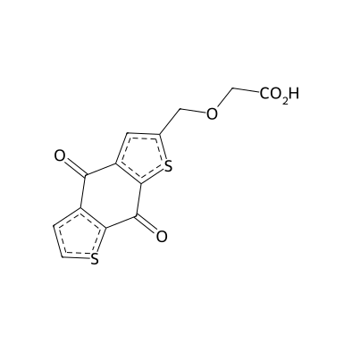 O=C(O)COCc1cc2c(s1)C(=O)c1sccc1C2=O